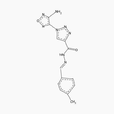 Cc1ccc(C=NNC(=O)c2cn(-c3nonc3N)nn2)cc1